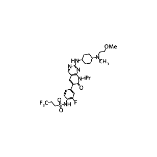 COCCN(C)C1CCC(Nc2ncc3cc(-c4ccc(NS(=O)(=O)CCC(F)(F)F)c(F)c4)c(=O)n(C(C)C)c3n2)CC1